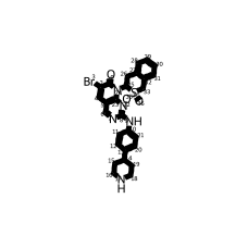 O=c1c(Br)cc2cnc(Nc3ccc(C4CCNCC4)cc3)nc2n1C1Cc2ccccc2CS1(=O)=O